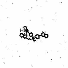 C=CC(C/C=C/c1cnc2ccccc2c1)N(c1ccc(-c2c[nH]c(/C=C\C)c2)cc1)c1ccc(-c2cnc3ccccc3c2)cc1